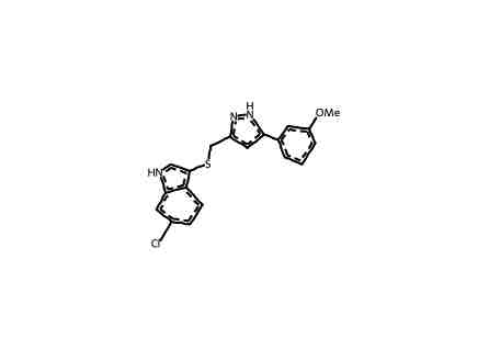 COc1cccc(-c2cc(CSc3c[nH]c4cc(Cl)ccc34)n[nH]2)c1